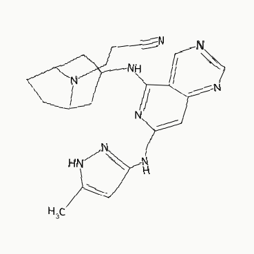 Cc1cc(Nc2cc3ncncc3c(NC3CC4CCC(C3)N4CCC#N)n2)n[nH]1